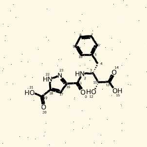 O=C(N[C@H](Cc1ccccc1)[C@@H](O)C(=O)O)c1cc(C(=O)O)[nH]n1